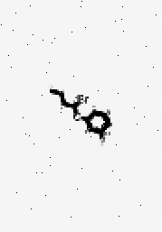 CCCC(Br)Oc1cccc(F)c1